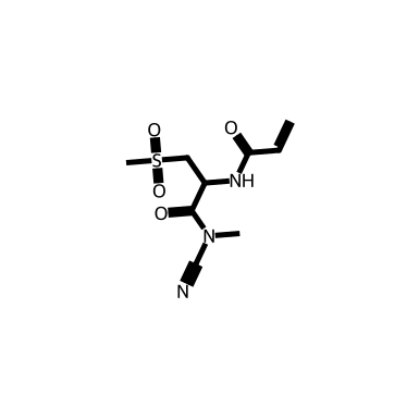 C=CC(=O)NC(CS(C)(=O)=O)C(=O)N(C)C#N